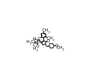 COC1CCC(CC2CC(OC(=O)C(C)(C)C)=C(c3c(C)cc(C)cc3C)C2=O)CC1